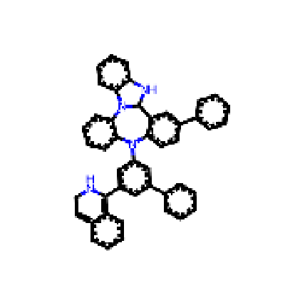 C1=c2ccccc2=C(c2cc(-c3ccccc3)cc(N3c4ccc(-c5ccccc5)cc4C4Nc5ccccc5N4c4ccccc43)c2)NC1